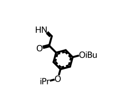 CC(C)COc1cc(OC(C)C)cc(C(=O)C=N)c1